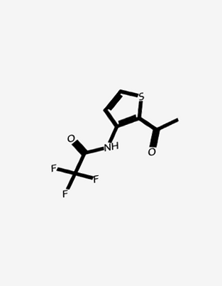 CC(=O)c1sccc1NC(=O)C(F)(F)F